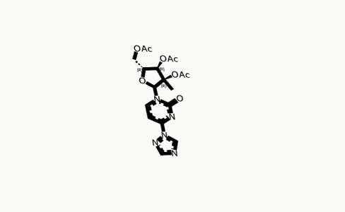 CC(=O)OC[C@H]1OC(n2ccc(-n3cncn3)nc2=O)[C@](C)(OC(C)=O)[C@@H]1OC(C)=O